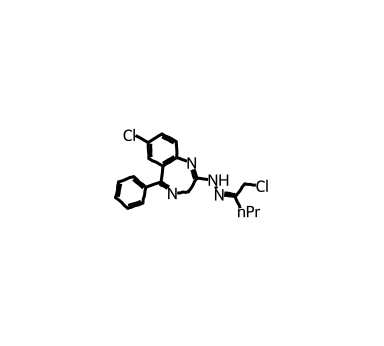 CCCC(CCl)=NNC1=Nc2ccc(Cl)cc2C(c2ccccc2)=NC1